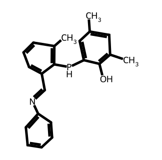 Cc1cc(C)c(O)c(Pc2c(C)cccc2/C=N/c2ccccc2)c1